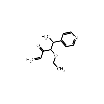 C=CC(=O)C(OCC)C(C)c1ccncc1